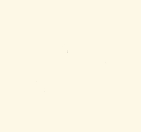 CC1(C)c2cc(-c3ccc4c(c3)Oc3ccccc3N4c3ccccc3)ccc2N(c2ccccc2)c2ccc(-c3ccc4c(c3)Oc3ccccc3N4c3ccccc3)cc21